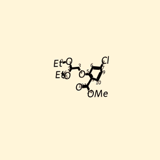 CCOC(COc1cc(Cl)ccc1C(=O)OC)OCC